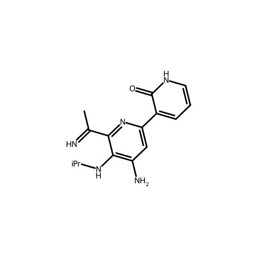 CC(=N)c1nc(-c2ccc[nH]c2=O)cc(N)c1NC(C)C